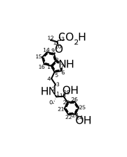 C[C@H](NCCc1c[nH]c2c(O[C@H](C)C(=O)O)cccc12)[C@@H](O)c1ccc(O)cc1